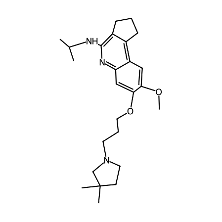 COc1cc2c3c(c(NC(C)C)nc2cc1OCCCN1CCC(C)(C)C1)CCC3